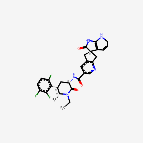 C[C@@H]1[C@H](c2c(F)ccc(F)c2F)C[C@H](NC(=O)c2cnc3c(c2)C[C@@]2(C3)C(=O)NC3=C2C=CCN3)C(=O)N1CC(F)(F)F